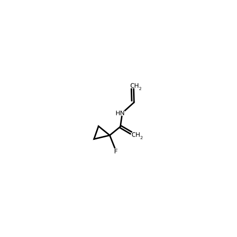 C=CNC(=C)C1(F)CC1